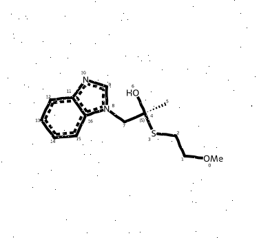 COCCS[C@](C)(O)Cn1cnc2ccccc21